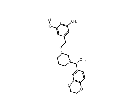 Cc1cc(CO[C@H]2CCCN([C@H](C)c3ccc4c(n3)OCCO4)C2)cc(BCl)n1